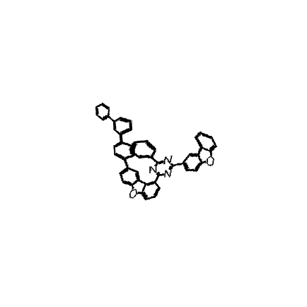 c1ccc(-c2cccc(-c3ccc(-c4ccc5oc6cccc(-c7nc(-c8ccccc8)nc(-c8ccc9oc%10ccccc%10c9c8)n7)c6c5c4)cc3)c2)cc1